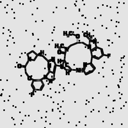 CO[C@H]1CN(C)C(=O)[C@@H]2C[C@@H](CN2c2nc3nc4c2cnn4-c2ccc(F)cc2OCC(=O)N2CC[C@H](C3)C2)Nc2cccc(n2)-c2cc(F)cc3nc(C)n(c23)C1